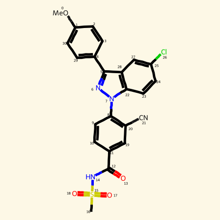 COc1ccc(-c2nn(-c3ccc(C(=O)NS(C)(=O)=O)cc3C#N)c3ccc(Cl)cc23)cc1